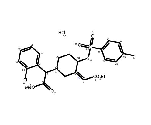 CCOC(=O)/C=C1/CN(C(C(=O)OC)c2ccccc2Cl)CCC1SS(=O)(=O)c1ccc(C)cc1.Cl